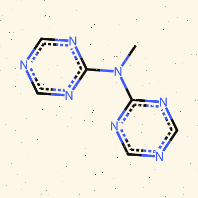 CN(c1ncncn1)c1ncncn1